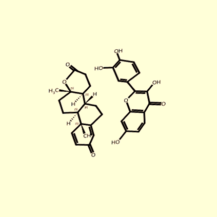 C[C@]12C=CC(=O)C=C1CC[C@@H]1[C@@H]2CC[C@]2(C)OC(=O)CC[C@@H]12.O=c1c(O)c(-c2ccc(O)c(O)c2)oc2cc(O)ccc12